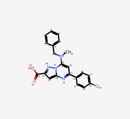 CN(Cc1ccccc1)c1cc(-c2ccc(Cl)cc2)nc2cc(C(=O)O)nn12